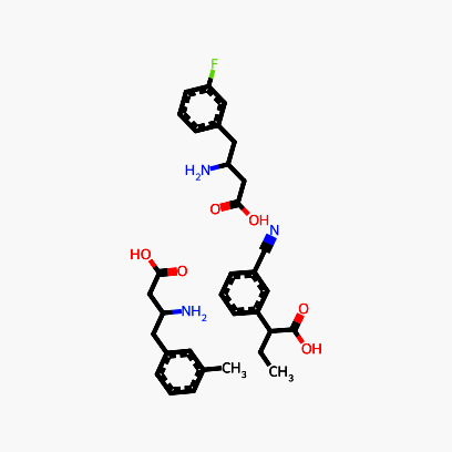 CCC(C(=O)O)c1cccc(C#N)c1.Cc1cccc(CC(N)CC(=O)O)c1.NC(CC(=O)O)Cc1cccc(F)c1